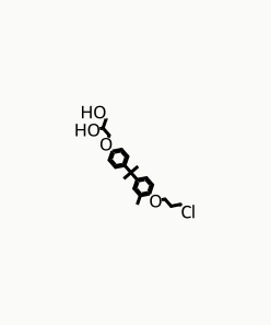 Cc1cc(C(C)(C)c2ccc(OCC(O)CO)cc2)ccc1OCCCCl